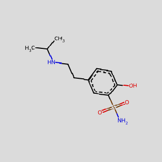 CC(C)NCCc1ccc(O)c(S(N)(=O)=O)c1